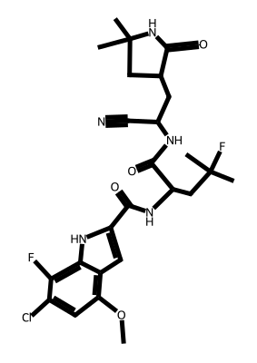 COc1cc(Cl)c(F)c2[nH]c(C(=O)NC(CC(C)(C)F)C(=O)NC(C#N)CC3CC(C)(C)NC3=O)cc12